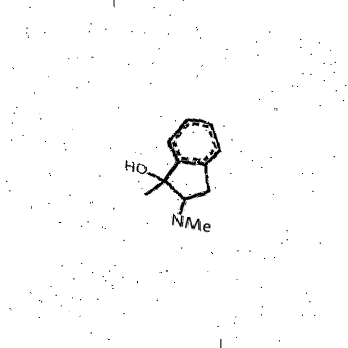 CNC1Cc2ccccc2C1(C)O